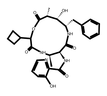 C[C@H]1NC(=O)C(C2CCC2)OC(=O)[C@H](C)[C@H](O)[C@H](Cc2ccccc2)NC(=O)[C@H]1NC(=O)c1ncccc1O